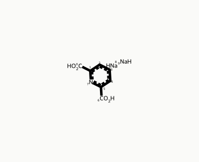 O=C(O)c1cccc(C(=O)O)n1.[NaH].[NaH]